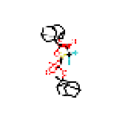 CC1(OC(=O)COC(=O)C23CC4CC(C2)C(OC(=O)C(F)(F)SOOO)C(C4)C3)C2CC3CC(C2)CC1C3